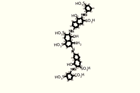 Nc1c(N=Nc2ccc3cc(S(=O)(=O)O)c(N=Nc4cc(S(=O)(=O)O)ccc4C(=O)O)c(O)c3c2)cc(S(=O)(=O)O)c2cc(S(=O)(=O)O)c(N=Nc3ccc4c(O)c(N=Nc5cccc(S(=O)(=O)O)c5)c(S(=O)(=O)O)cc4c3)c(O)c12